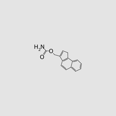 NC(=O)OCC1=CCc2c1ccc1ccccc21